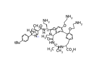 C=C(/N=C\C(C(=O)N[C@@H](CCN)C(=O)N(C)C1C(=O)N[C@@H](C)C(=C)NC(C(=O)O)Cc2ccc(OCCN)c(c2)-c2cc1ccc2OCCN)=C(C)C)c1ccc(C(C)(C)C)cc1